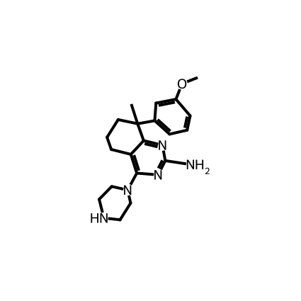 COc1cccc(C2(C)CCCc3c(N4CCNCC4)nc(N)nc32)c1